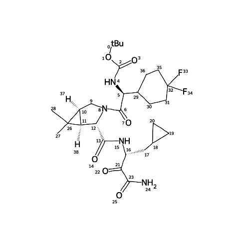 CC(C)(C)OC(=O)N[C@H](C(=O)N1C[C@H]2[C@@H]([C@H]1C(=O)N[C@H](CC1CC1)C(=O)C(N)=O)C2(C)C)C1CCC(F)(F)CC1